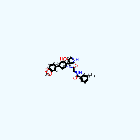 O=C(CNC(=O)c1cccc(C(F)(F)F)c1)N[C@@]1(C2CCC(c3ccc4c(c3)OCO4)CC2)CNC[C@@H]1O